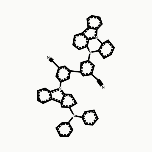 N#Cc1cc(-c2cc(C#N)cc(-n3c4ccccc4c4cc(N(c5ccccc5)c5ccccc5)ccc43)c2)cc(N2c3ccccc3-n3c4ccccc4c4cccc2c43)c1